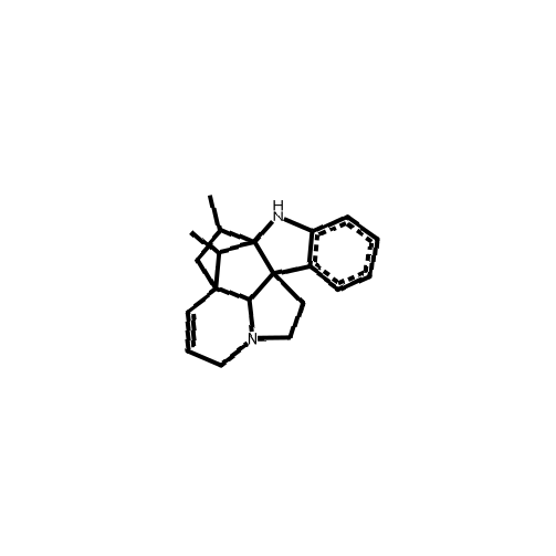 CC1CC23C=CCN4CCC5(c6ccccc6NC15C2C)C43